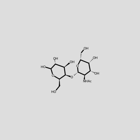 CC(=O)N[C@H]1[C@H](O[C@@H]2[C@H](O)[C@@H](O)C(O)O[C@@H]2CO)O[C@H](CO)[C@H](O)[C@@H]1O